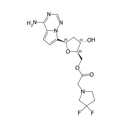 Nc1ncnn2c([C@H]3C[C@H](O)[C@@H](COC(=O)CN4CCC(F)(F)C4)O3)ccc12